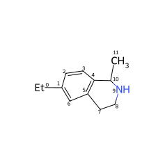 CCc1ccc2c(c1)CCNC2C